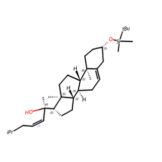 CC(C)C/C=C\[C@@](C)(O)[C@H]1CC[C@H]2[C@@H]3CC=C4C[C@@H](O[Si](C)(C)C(C)(C)C)CC[C@]4(C)[C@H]3CC[C@@]21C